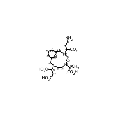 CC(C(=O)O)N1CCN(C(CCN)C(=O)O)Cc2cccc(n2)CN(C(CC(=O)O)C(=O)O)CC1